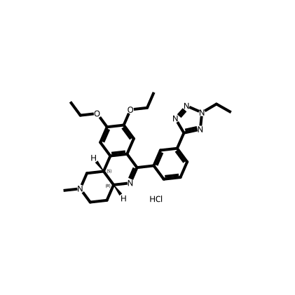 CCOc1cc2c(cc1OCC)[C@H]1CN(C)CC[C@H]1N=C2c1cccc(-c2nnn(CC)n2)c1.Cl